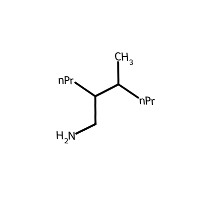 CCCC(C)C(CN)CCC